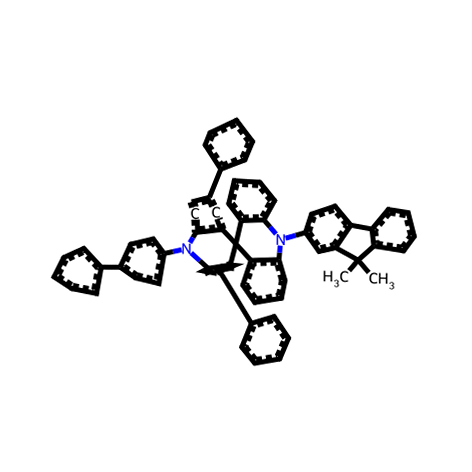 CC1(C)c2ccccc2-c2ccc(N3c4ccccc4C4(c5ccccc53)c3cc(-c5ccccc5)ccc3N(c3ccc(-c5ccccc5)cc3)c3ccc(-c5ccccc5)cc34)cc21